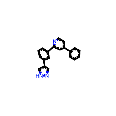 c1ccc(-c2ccnc(-c3cccc(-c4cn[nH]c4)c3)c2)cc1